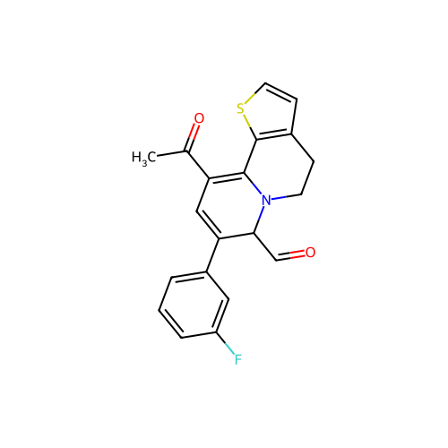 CC(=O)C1=C2c3sccc3CCN2C(C=O)C(c2cccc(F)c2)=C1